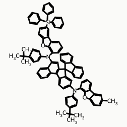 Cc1ccc2oc3c(N(c4ccc(C(C)(C)C)cc4)c4ccc5c(c4)C4(c6ccccc6-c6ccccc64)c4cc(N(c6ccc(C(C)(C)C)cc6)c6cccc7c6oc6ccc([Si](c8ccccc8)(c8ccccc8)c8ccccc8)cc67)c6ccccc6c4-5)cccc3c2c1